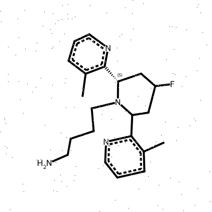 Cc1cccnc1C1CC(F)C[C@@H](c2ncccc2C)N1CCCCN